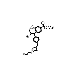 COC(=O)c1ccc2c(c1)SCCC(Br)=C2c1ccc(CC2CN(CCCF)C2)cc1